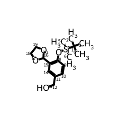 CC(C)(C)[Si](C)(C)Oc1ccc(CO)cc1C1OCCO1